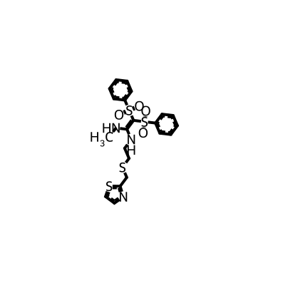 CNC(NCCSCc1nccs1)=C(S(=O)(=O)c1ccccc1)S(=O)(=O)c1ccccc1